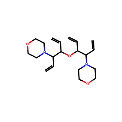 C=CC(OC(C=C)C(C=C)N1CCOCC1)C(C=C)N1CCOCC1